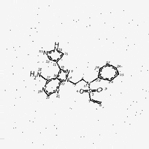 C=CS(=O)(=O)N(CCn1nc(-c2cn[nH]c2)c2c(N)ncnc21)c1ccccc1